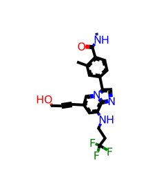 CNC(=O)c1ccc(-c2cnc3c(NCCC(F)(F)F)cc(C#CCO)cn23)cc1C